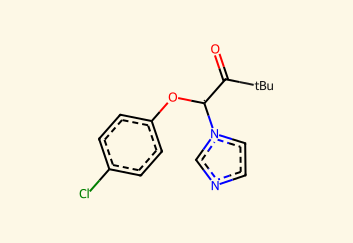 CC(C)(C)C(=O)[C](Oc1ccc(Cl)cc1)n1ccnc1